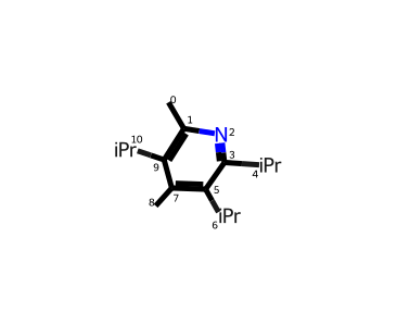 Cc1nc(C(C)C)c(C(C)C)c(C)c1C(C)C